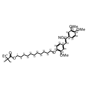 CCC(C)(C)C(=O)OCCCCCCCCCCCOc1ccc(/C=C(\C#N)c2ccc(OC)c(OC)c2)cc1OC